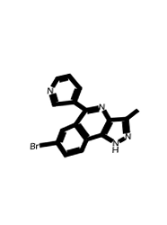 Cc1n[nH]c2c1nc(-c1cccnc1)c1cc(Br)ccc12